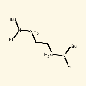 CCC(C)N(CC)[SiH2]CC[SiH2]N(CC)C(C)CC